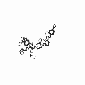 C[C@@H](c1nc2ccc(C(=O)O)cc2n1CC1CCO1)N1CCN(c2cccc(OCc3ccc(C#N)cc3F)n2)C(=O)C1